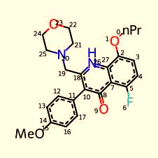 CCCOc1ccc(F)c2c(=O)c(-c3ccc(OC)cc3)c(CN3CCOCC3)[nH]c12